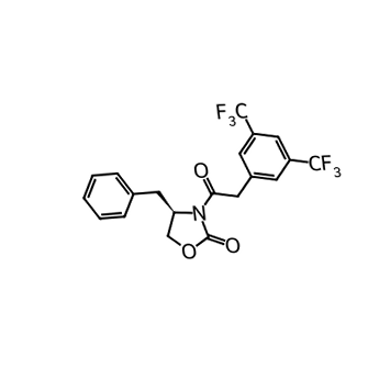 O=C(Cc1cc(C(F)(F)F)cc(C(F)(F)F)c1)N1C(=O)OC[C@H]1Cc1ccccc1